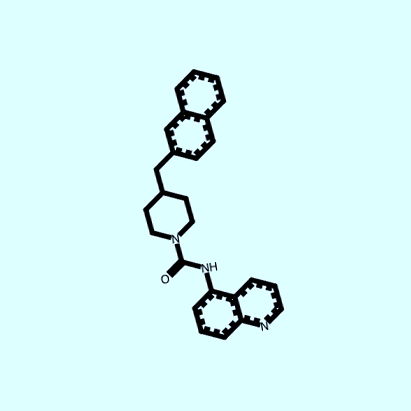 O=C(Nc1cccc2ncccc12)N1CCC(Cc2ccc3ccccc3c2)CC1